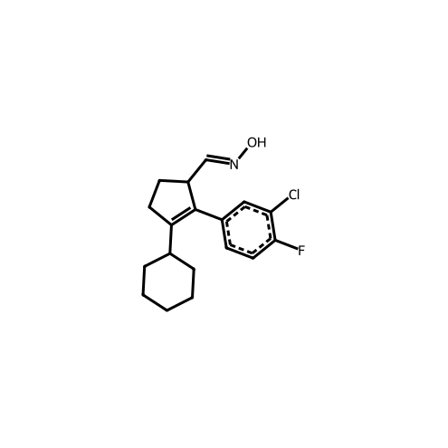 ON=CC1CCC(C2CCCCC2)=C1c1ccc(F)c(Cl)c1